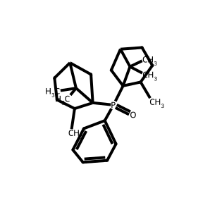 CC1CCC2CC1(P(=O)(c1ccccc1)C13CC(CCC1C)C3(C)C)C2(C)C